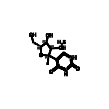 C[C@@]1(c2c[nH]c(=O)[nH]c2=O)O[C@H](CO)[C@@H](O)[C@H]1O.S